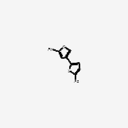 CC(=O)c1cc(-c2ccc(C(C)=O)s2)[c]s1